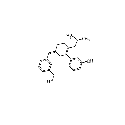 CN(C)CC1=C(c2cccc(O)c2)C/C(=C\c2cccc(CO)c2)CC1